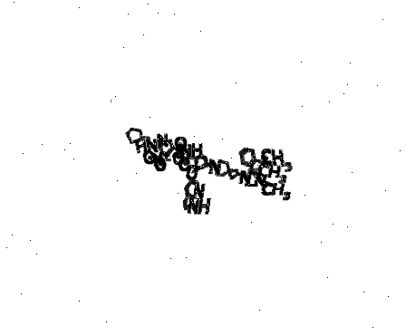 CCN1CCN(C2CC3(CCN(c4ccc(C(=O)NS(=O)(=O)c5cnc(NCC6CCCCC6)c([N+](=O)[O-])c5)c(Oc5cnc6[nH]ccc6c5)c4)CC3)C2)[C@@H](c2ccccc2C(C)C)C1